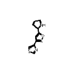 c1nc(-c2cc(C3CCCN3)on2)cs1